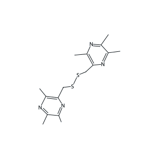 Cc1nc(C)c(CSSCc2nc(C)c(C)nc2C)nc1C